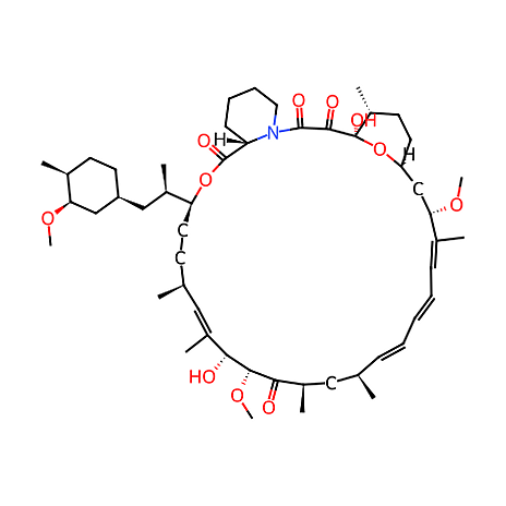 CO[C@H]1C[C@@H]2CC[C@@H](C)[C@@](O)(O2)C(=O)C(=O)N2CCCC[C@H]2C(=O)O[C@H]([C@H](C)C[C@@H]2CC[C@H](C)[C@H](OC)C2)CC[C@H](C)/C=C(\C)[C@@H](O)[C@@H](OC)C(=O)[C@H](C)C[C@H](C)/C=C/C=C/C=C/1C